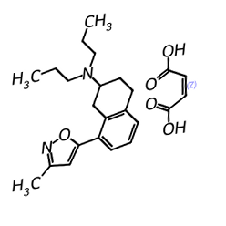 CCCN(CCC)C1CCc2cccc(-c3cc(C)no3)c2C1.O=C(O)/C=C\C(=O)O